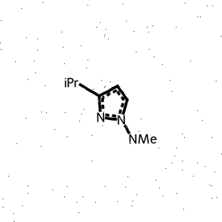 CNn1ccc(C(C)C)n1